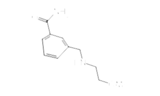 COCCNCc1cccc(C(N)=O)c1